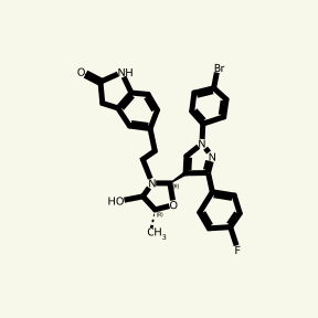 C[C@H]1O[C@H](c2cn(-c3ccc(Br)cc3)nc2-c2ccc(F)cc2)N(CCc2ccc3c(c2)CC(=O)N3)C1O